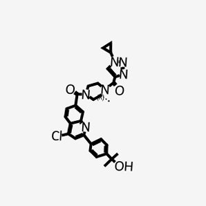 C[C@@H]1CN(C(=O)c2ccc3c(Cl)cc(-c4ccc(C(C)(C)O)cc4)nc3c2)CCN1C(=O)c1cn(C2CC2)nn1